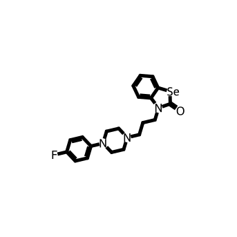 O=c1[se]c2ccccc2n1CCCN1CCN(c2ccc(F)cc2)CC1